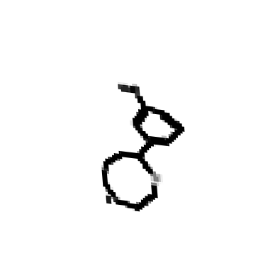 COc1cccc(C2CCCNCCN2)c1